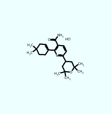 CC1(C)CC=C(c2nc(C3CC(C)(C)OC(C)(C)C3)ccc2C(N)=O)CC1.Cl